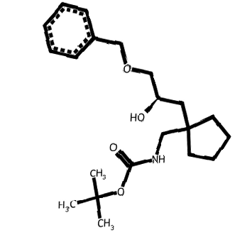 CC(C)(C)OC(=O)NCC1(C[C@@H](O)COCc2ccccc2)CCCC1